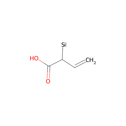 C=CC([Si])C(=O)O